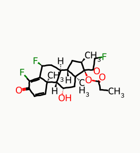 CCC(=O)O[C@]1(C(=O)CF)[C@H](C)C[C@H]2[C@@H]3C[C@H](F)C4=C(F)C(=O)C=C[C@]4(C)[C@H]3[C@@H](O)C[C@@]21C